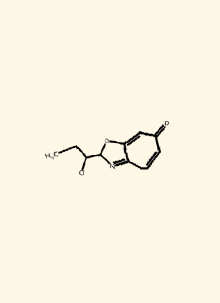 CCC(Cl)C1N=C2C=CC(=O)C=C2O1